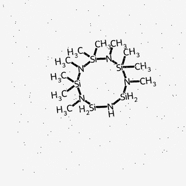 CN1[SiH2]N[SiH2]N(C)[Si](C)(C)N(C)[Si](C)(C)N(C)[Si]1(C)C